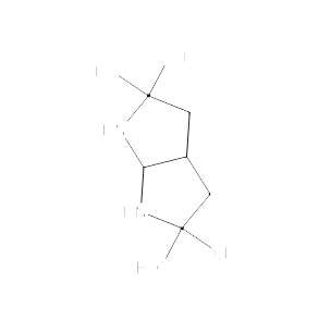 CC1(C)CC2CC(C)(C)NC2N1